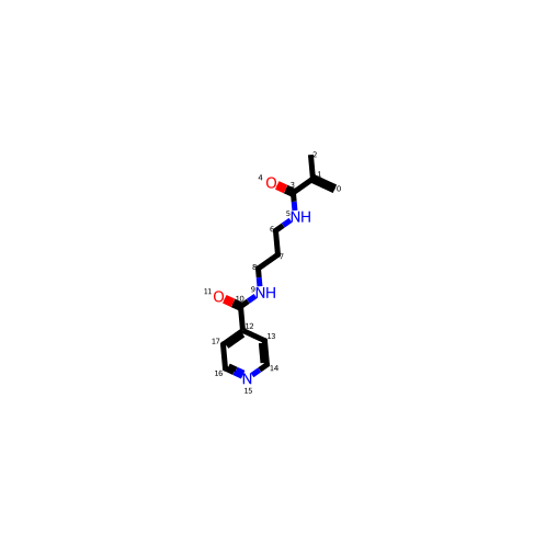 C=C(C)C(=O)NCCCNC(=O)c1ccncc1